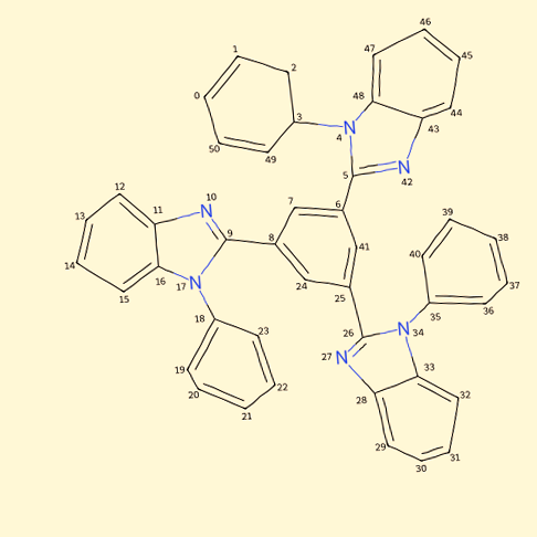 C1=CCC(n2c(-c3cc(-c4nc5ccccc5n4-c4ccccc4)cc(-c4nc5ccccc5n4-c4ccccc4)c3)nc3ccccc32)C=C1